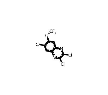 FC(F)(F)Oc1cc2nc(Cl)c(Cl)nc2cc1Cl